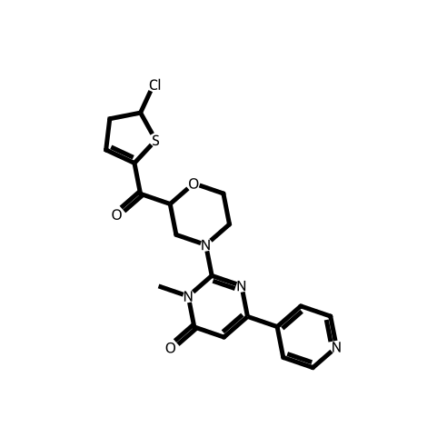 Cn1c(N2CCOC(C(=O)C3=CCC(Cl)S3)C2)nc(-c2ccncc2)cc1=O